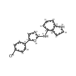 Clc1ccc(-c2cnc(Nc3cccc4[nH]ccc34)o2)cc1